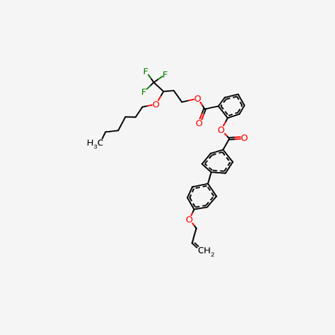 C=CCOc1ccc(-c2ccc(C(=O)Oc3ccccc3C(=O)OCCC(OCCCCCC)C(F)(F)F)cc2)cc1